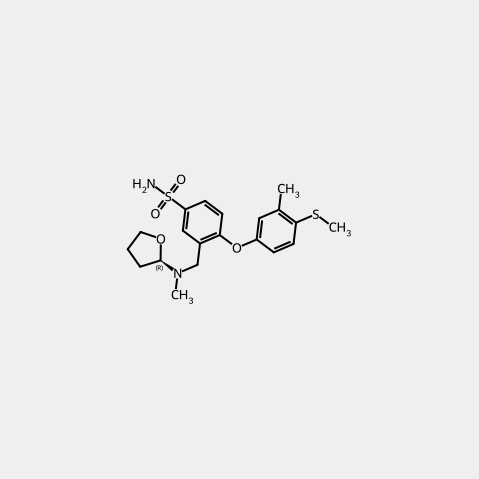 CSc1ccc(Oc2ccc(S(N)(=O)=O)cc2CN(C)[C@H]2CCCO2)cc1C